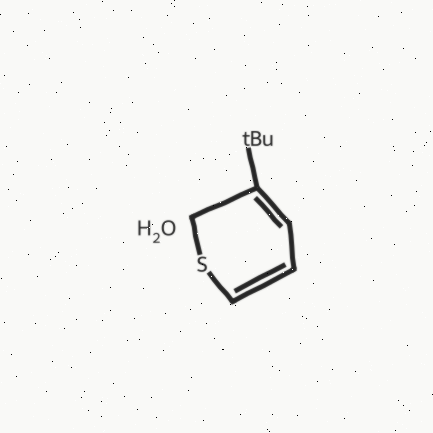 CC(C)(C)C1=CC=CSC1.O